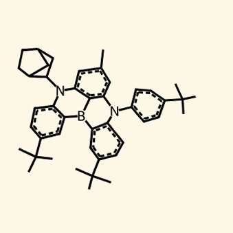 Cc1cc2c3c(c1)N(C1CC4CCC1C4)c1ccc(C(C)(C)C)cc1B3c1cc(C(C)(C)C)ccc1N2c1ccc(C(C)(C)C)cc1